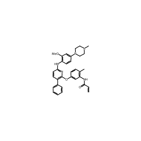 C=CC(=O)Nc1cc(Oc2nc(Nc3ccc(N4CCN(C)CC4)cc3OC)ccc2-c2ccccc2)ccc1C